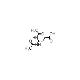 CC(=O)NC(CCC(=O)O)NC(C)=O